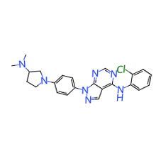 CN(C)C1CCN(c2ccc(-n3ncc4c(Nc5ccccc5Cl)ncnc43)cc2)C1